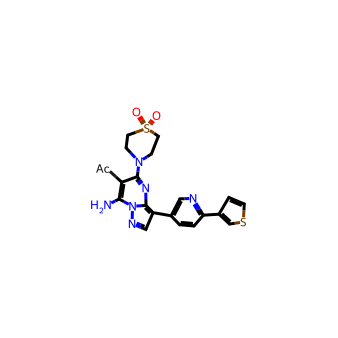 CC(=O)c1c(N2CCS(=O)(=O)CC2)nc2c(-c3ccc(-c4ccsc4)nc3)cnn2c1N